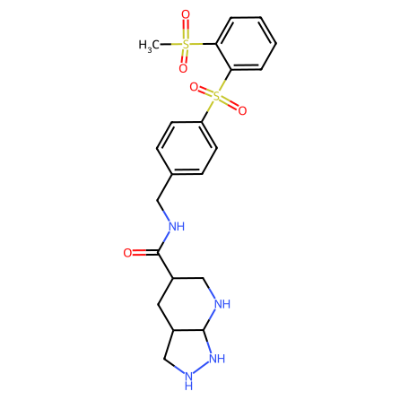 CS(=O)(=O)c1ccccc1S(=O)(=O)c1ccc(CNC(=O)C2CNC3NNCC3C2)cc1